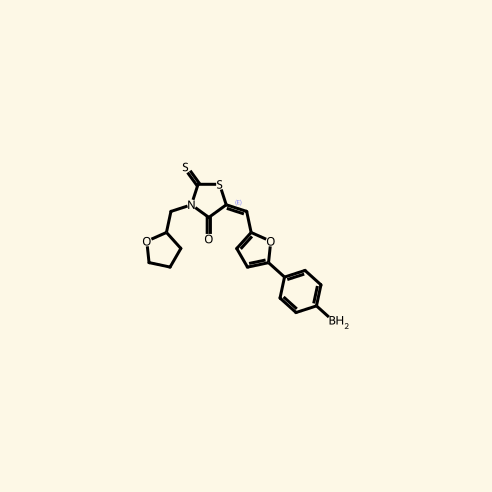 Bc1ccc(-c2ccc(/C=C3/SC(=S)N(CC4CCCO4)C3=O)o2)cc1